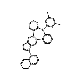 Cc1cc(C)nc(N2c3ccccc3-c3cc4ccn(-c5cccc6c5C=CCC6)c4cc3-c3ccccc32)c1